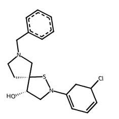 O[C@H]1CN(C2=CC=CC(Cl)C2)S[C@@]12CCN(Cc1ccccc1)C2